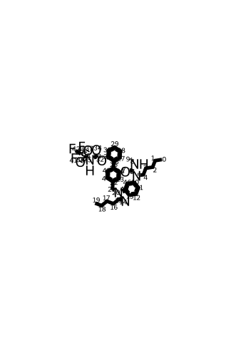 CCCCCN(C(=O)NC)c1ccc2nc(CCCC)n(Cc3ccc(-c4ccccc4OC(=O)NS(=O)(=O)C(F)(F)F)cc3)c2c1